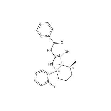 C[C@H]1OCC[C@@](NC(=S)NC(=O)c2ccccc2)(c2ccccc2F)[C@@H]1CO